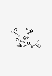 CCCCC(OCC1CO1)C(COCC1CO1)OCC1CO1